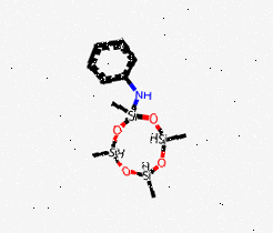 C[SiH]1O[SiH](C)O[Si](C)(Nc2ccccc2)O[SiH](C)O1